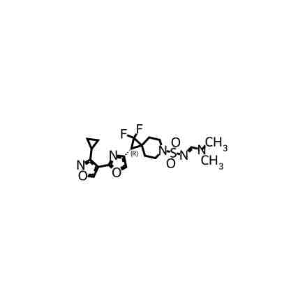 CN(C)C=NS(=O)(=O)N1CCC2(CC1)[C@H](c1coc(-c3conc3C3CC3)n1)C2(F)F